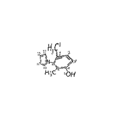 Cc1ccc(O)c(C)c1-n1cccc1